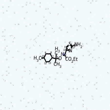 CCOC(=O)/C(=N\OC(C)(C)C1CCC(C)CC1)c1csc(N)n1